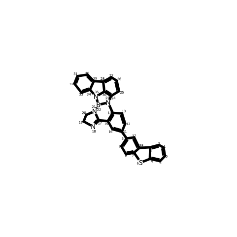 c1ccc2c(c1)sc1ccc(-c3ccc4c(c3)C3=NCCN3B3N4c4cccc5c6ccccc6n3c45)cc12